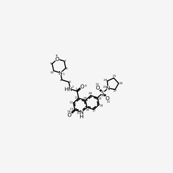 O=C(NCCN1CCOCC1)c1cc(=O)[nH]c2ccc(S(=O)(=O)N3CCCC3)cc12